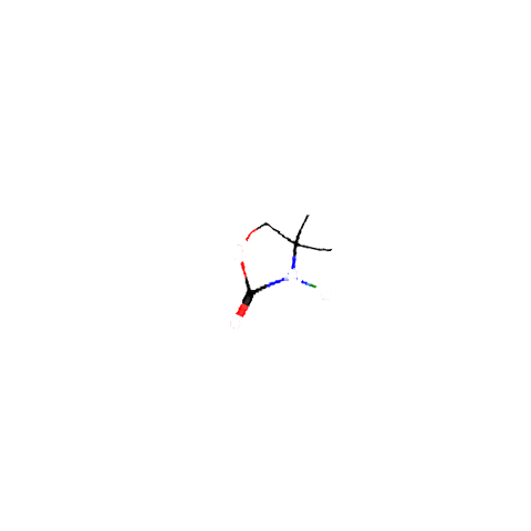 CC1(C)COC(=O)N1Cl